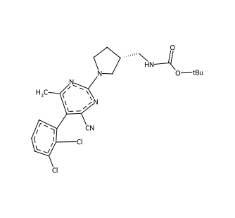 Cc1nc(N2CC[C@H](CNC(=O)OC(C)(C)C)C2)nc(C#N)c1-c1cccc(Cl)c1Cl